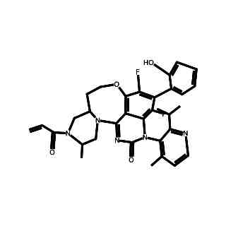 C=CC(=O)N1CC2CCOc3c(F)c(-c4ccccc4O)c(F)c4c3c(nc(=O)n4-c3c(C)ccnc3C(C)C)N2CC1C